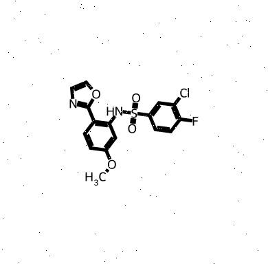 COc1ccc(-c2ncco2)c(NS(=O)(=O)c2ccc(F)c(Cl)c2)c1